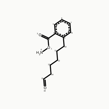 NOC(=O)c1ccccc1CCCCCC=O